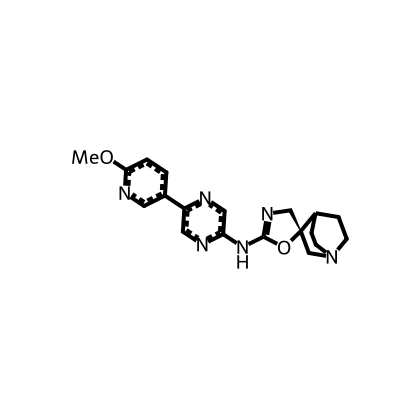 COc1ccc(-c2cnc(NC3=NC[C@@]4(CN5CCC4CC5)O3)cn2)cn1